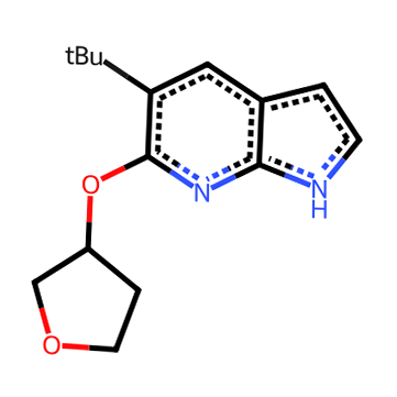 CC(C)(C)c1cc2cc[nH]c2nc1OC1CCOC1